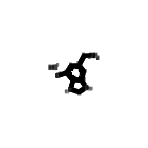 Cl.NCc1cc(Cl)c2c(c1)OCO2